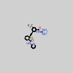 N=C(N)NC(=O)c1cc(C#CC2(Cl)C=CC=CC2C(=O)Nc2ccccn2)cc(C(F)(F)F)c1